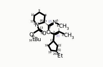 C/C=C(/O/C(=N\C)[C@H]1CCCCN1C(=O)OC(C)(C)C)C1CC[C@H](CC)C1